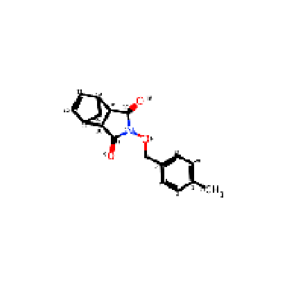 Cc1ccc(CON2C(=O)C3C4C=CC(C4)C3C2=O)cc1